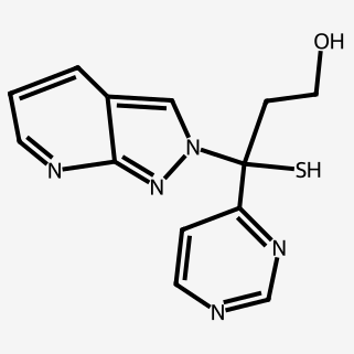 OCCC(S)(c1ccncn1)n1cc2cccnc2n1